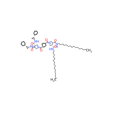 CCCCCCCCCCCCCCCCNC(=O)[C@@H]1CN(C(=O)c2ccc(C(=O)N3C[C@@H](C(=O)N[C@H]4C[C@@H]4c4ccccc4)[C@H](C(=O)N[C@H]4C[C@@H]4c4ccccc4)C3)cc2)C[C@H]1C(=O)NCCCCCCCCCCCCCCCC